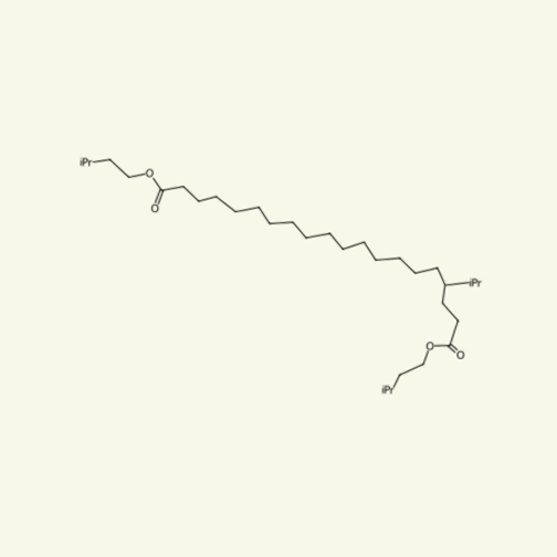 CC(C)CCOC(=O)CCCCCCCCCCCCCCCC(CCC(=O)OCCC(C)C)C(C)C